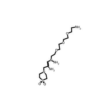 NCCOCCOCCOCCN(N)/C=C(\N)CN1CCS(=O)(=O)CC1